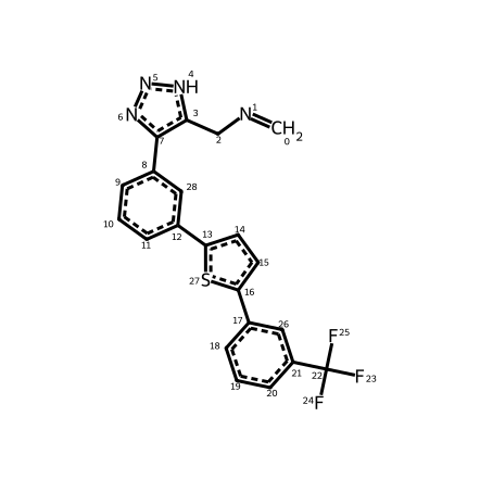 C=NCc1[nH]nnc1-c1cccc(-c2ccc(-c3cccc(C(F)(F)F)c3)s2)c1